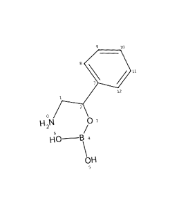 NCC(OB(O)O)c1ccccc1